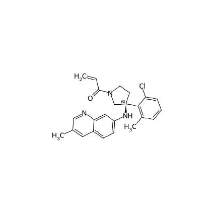 C=CC(=O)N1CC[C@](Nc2ccc3cc(C)cnc3c2)(c2c(C)cccc2Cl)C1